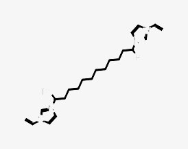 C=Cn1cc[n+](C(Br)CCCCCCCCCCC(Br)[n+]2ccn(C=C)c2)c1